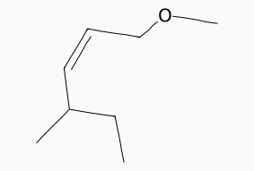 CCC(C)/C=C\COC